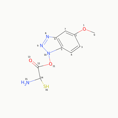 COc1ccc2c(c1)nnn2OC(=O)C(N)S